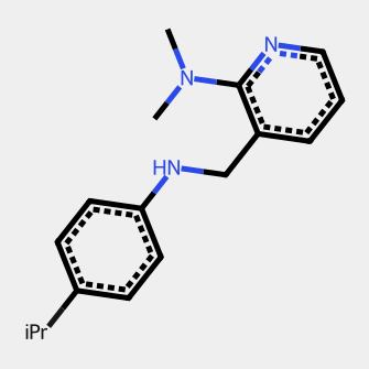 CC(C)c1ccc(NCc2cccnc2N(C)C)cc1